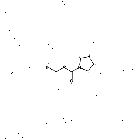 [NH]CCC(=O)N1CCCC1